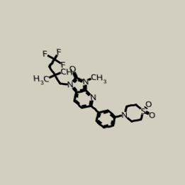 Cn1c(=O)n(CC(C)(C)CC(F)(F)F)c2ccc(-c3cccc(N4CCS(=O)(=O)CC4)c3)nc21